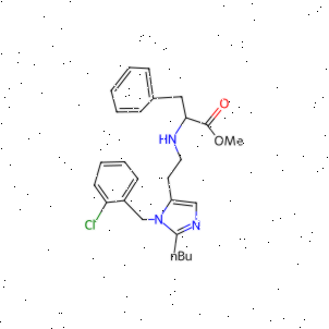 CCCCc1ncc(CCNC(Cc2ccccc2)C(=O)OC)n1Cc1ccccc1Cl